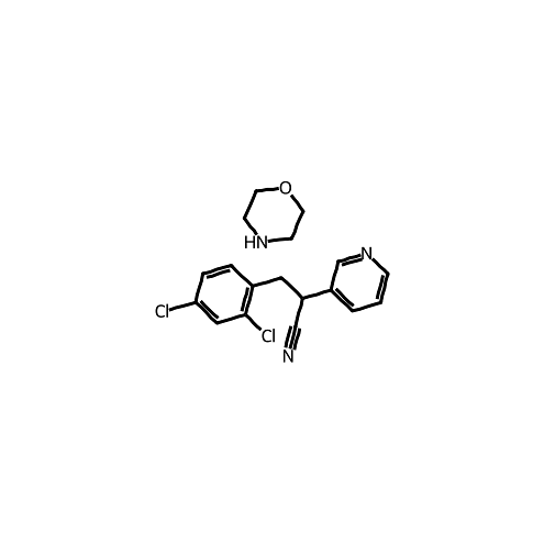 C1COCCN1.N#CC(Cc1ccc(Cl)cc1Cl)c1cccnc1